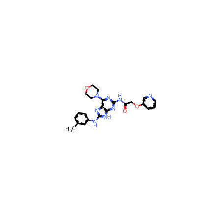 Cc1cccc(Nc2nc3c(N4CCOCC4)nc(NC(=O)COc4cccnc4)nc3[nH]2)c1